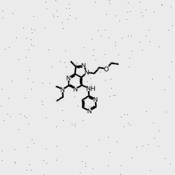 CCOCCn1nc(C)c2nc(N(C)CC)nc(Nc3ccncn3)c21